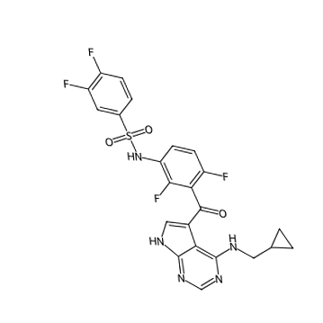 O=C(c1c(F)ccc(NS(=O)(=O)c2ccc(F)c(F)c2)c1F)c1c[nH]c2ncnc(NCC3CC3)c12